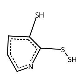 SSc1ncccc1S